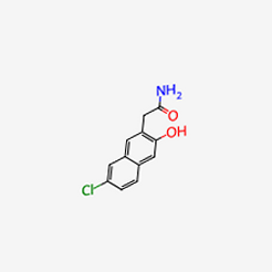 NC(=O)Cc1cc2cc(Cl)ccc2cc1O